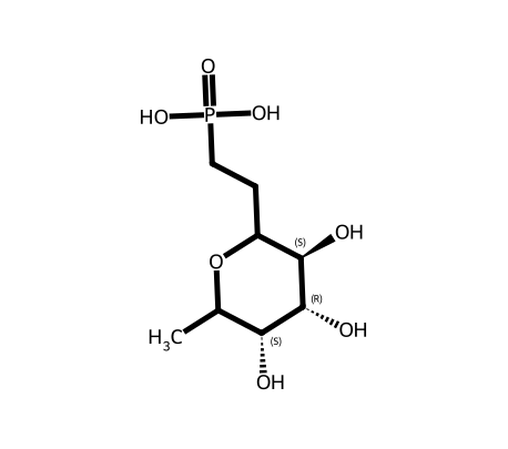 CC1OC(CCP(=O)(O)O)[C@@H](O)[C@H](O)[C@@H]1O